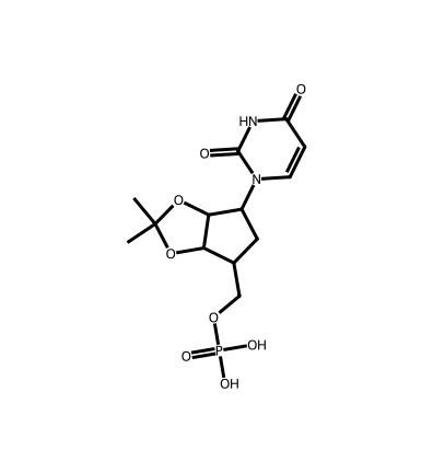 CC1(C)OC2C(COP(=O)(O)O)CC(n3ccc(=O)[nH]c3=O)C2O1